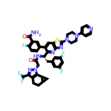 NC(=O)c1cc(-c2cc3sc(N4CCN(c5ccncc5)CC4)nc3nc2[C@H](Cc2cc(F)cc(F)c2)NC(=O)Cn2nc(C(F)F)c3c2C2CC2CC3)ccc1F